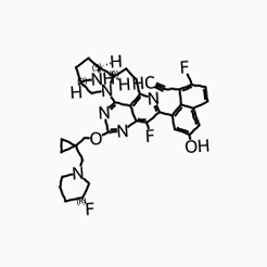 C#Cc1c(F)ccc2cc(O)cc(-c3nc4c5c(nc(OCC6(CN7CCC[C@@H](F)C7)CC6)nc5c3F)N3C[C@H]5CC[C@H](N5)[C@H]3CC4)c12